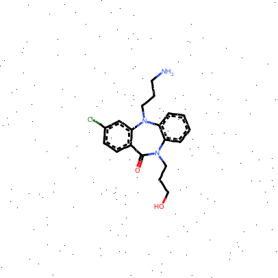 NCCCN1c2cc(Cl)ccc2C(=O)N(CCCO)c2ccccc21